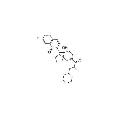 CC(CC1CCCCC1)C(=O)N1CCC(O)(Cn2ccc3ccc(F)cc3c2=O)C2(CCCC2)C1